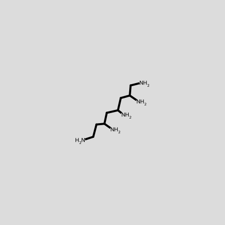 NCCC(N)CC(N)CC(N)CN